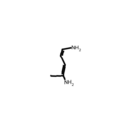 C/C(N)=C\C=C/N